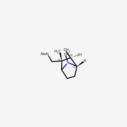 CC[C@]1(C)[C@@H]2CCC(N2C)[C@]1(C)CNC